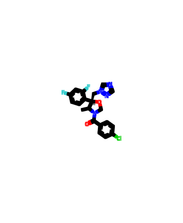 CC1N(C(=O)c2ccc(Cl)cc2)CO[C@@]1(Cn1cncn1)c1ccc(F)cc1F